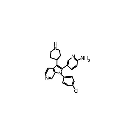 Nc1ccc(-c2c(C3CCNCC3)c3ccncc3n2-c2ccc(Cl)cc2)cn1